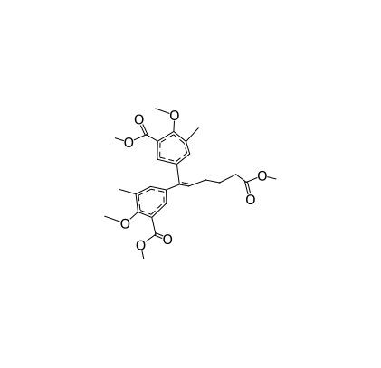 COC(=O)CCCC=C(c1cc(C)c(OC)c(C(=O)OC)c1)c1cc(C)c(OC)c(C(=O)OC)c1